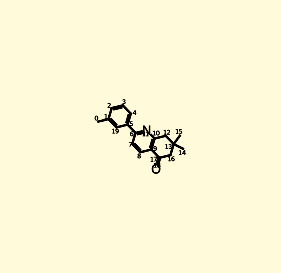 Cc1cccc(-c2ccc3c(n2)CC(C)(C)CC3=O)c1